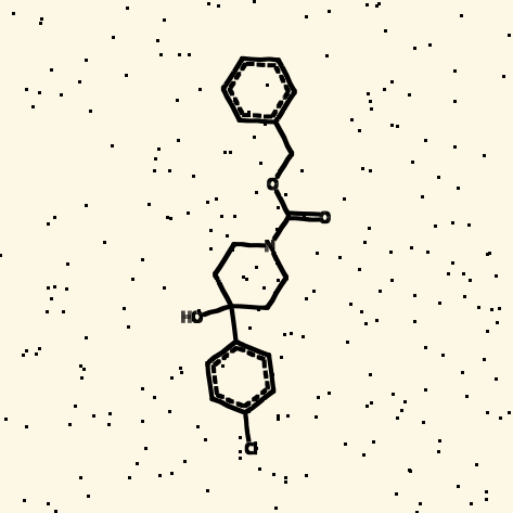 O=C(OCc1ccccc1)N1CCC(O)(c2ccc(Cl)cc2)CC1